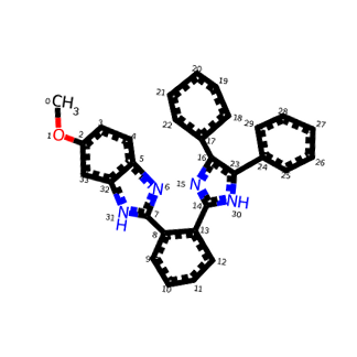 COc1ccc2nc(-c3ccccc3-c3nc(-c4ccccc4)c(-c4ccccc4)[nH]3)[nH]c2c1